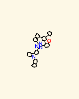 c1ccc(-c2cc(-c3ccccc3)c3oc4cccc(-c5nc(-c6ccccc6)nc(-c6ccc7c(c6)c6ccccc6n7-c6ccc7ccccc7c6)n5)c4c3c2)cc1